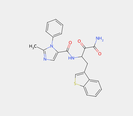 Cc1ncc(C(=O)NC(Cc2csc3ccccc23)C(=O)C(N)=O)n1-c1ccccc1